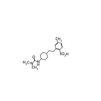 Cc1ccc(S(=O)(=O)O)c(CCC2CCC(NC(=O)N(C)C)CC2)c1